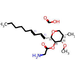 CCCCC/C=C/C=C/[C@@H]1OC[C@H](C)[C@H](OC)[C@H]1OC(=O)CN.O=CO